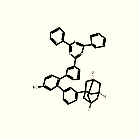 N#Cc1ccc(-c2cccc(-c3nc(-c4ccccc4)nc(-c4ccccc4)n3)c2)c(-c2cccc(C34C[C@H]5C[C@H](C3)C[C@@H](C4)C5)c2)c1